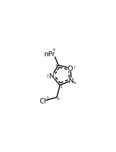 CCCc1nc(CCl)no1